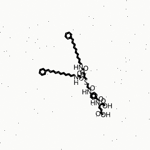 O=C(O)CCC(NC(=O)c1ccc(NC(=O)CCSCC(COC(=O)NCCCCCCCCCCCC2CCCCC2)OC(=O)NCCCCCCCCCCCC2CCCCC2)cc1)C(=O)O